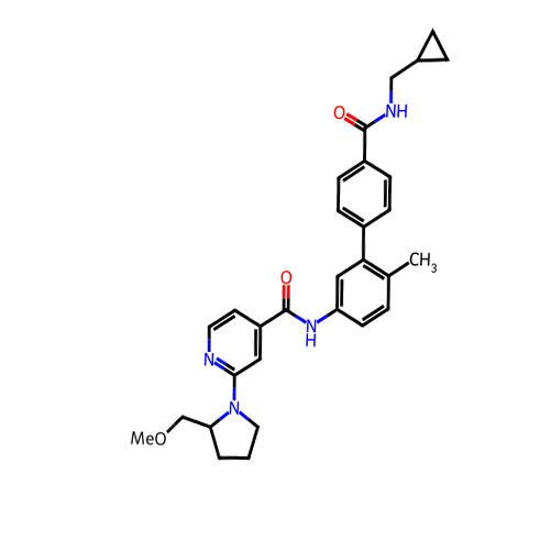 COCC1CCCN1c1cc(C(=O)Nc2ccc(C)c(-c3ccc(C(=O)NCC4CC4)cc3)c2)ccn1